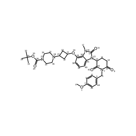 COc1ccc(CN2C(=O)CCC(n3c(=O)n(C)c4c(OC5CC(N6CCN(C(=O)OC(C)(C)C)CC6)C5)cccc43)C2=O)cc1